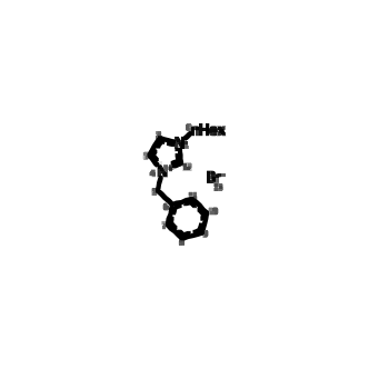 CCCCCCn1cc[n+](Cc2ccccc2)c1.[Br-]